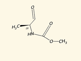 COC(=O)N[C@@H](C)C=O